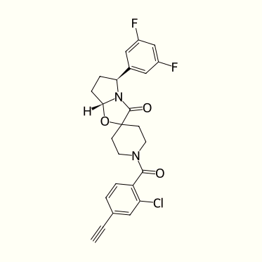 C#Cc1ccc(C(=O)N2CCC3(CC2)O[C@@H]2CC[C@@H](c4cc(F)cc(F)c4)N2C3=O)c(Cl)c1